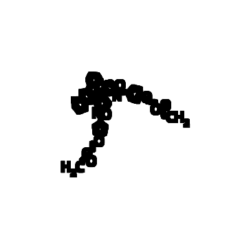 C=CC(=O)OCCOc1ccc(-c2nc3cc(C4(c5ccc6oc(-c7ccc(OCCOC(=O)C=C)cc7)nc6c5)c5ccccc5-c5cc6ccccc6cc54)ccc3o2)cc1